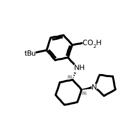 CC(C)(C)c1ccc(C(=O)O)c(N[C@H]2CCCC[C@@H]2N2CCCC2)c1